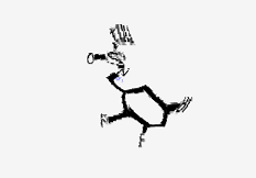 CC(C)(C)[S@@+]([O-])/N=C/c1cc(Br)cc(F)c1F